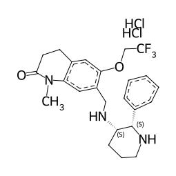 CN1C(=O)CCc2cc(OCC(F)(F)F)c(CN[C@H]3CCCN[C@H]3c3ccccc3)cc21.Cl.Cl